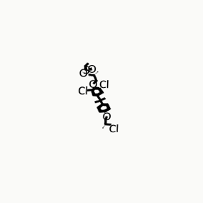 CCS(=O)(=O)C[C@H](C)COc1c(Cl)cc(C(C)(C)c2ccc(OC[C@@H](C)CCl)cc2)cc1Cl